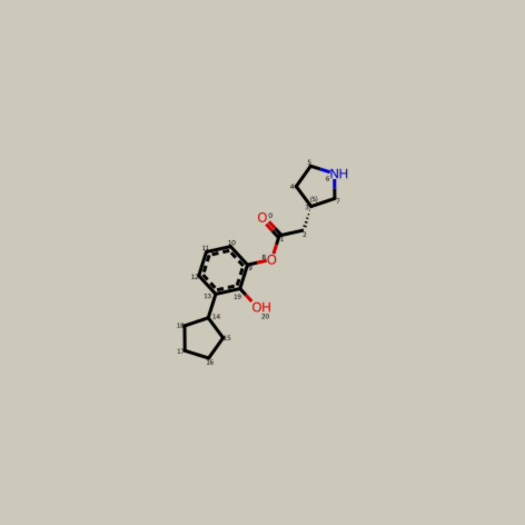 O=C(C[C@@H]1CCNC1)Oc1cccc(C2CCCC2)c1O